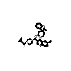 CC(=O)C1(c2ccccc2)CCN(c2c(C(=O)N3CCN(C(=O)C4CC4)CC3)cnc3ccc(F)cc23)CC1